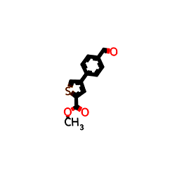 COC(=O)c1cc(-c2ccc(C=O)cc2)cs1